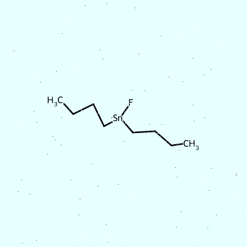 CCC[CH2][Sn]([F])[CH2]CCC